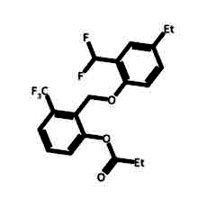 CCC(=O)Oc1cccc(C(F)(F)F)c1COc1ccc(CC)cc1C(F)F